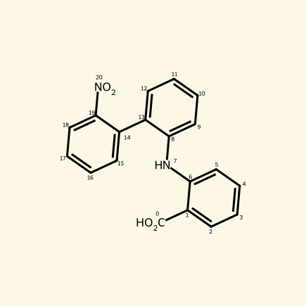 O=C(O)c1ccccc1Nc1ccccc1-c1ccccc1[N+](=O)[O-]